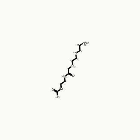 CCC(=O)NCCNC(=O)COCCOCCNC